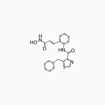 O=C(/C=C/c1ccccc1NC(=O)c1ncsc1Cc1ccccc1)NO